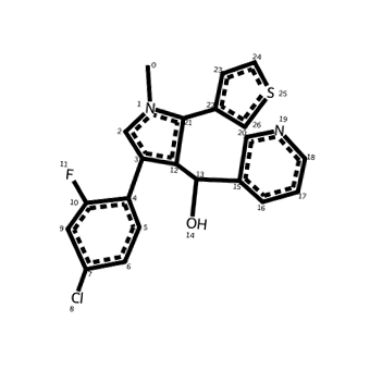 Cn1cc(-c2ccc(Cl)cc2F)c(C(O)c2cccnc2)c1-c1ccsc1